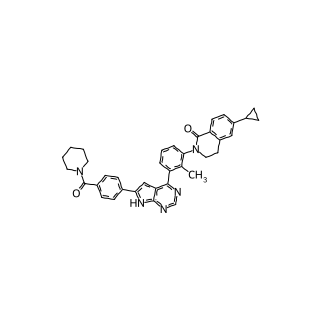 Cc1c(-c2ncnc3[nH]c(-c4ccc(C(=O)N5CCCCC5)cc4)cc23)cccc1N1CCc2cc(C3CC3)ccc2C1=O